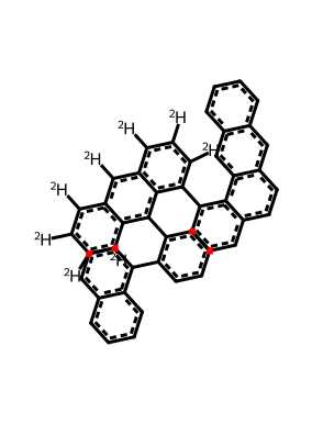 [2H]c1c([2H])c([2H])c2c(-c3ccccc3-c3cccc4ccccc34)c3c(-c4cccc5ccc6cc7ccccc7cc6c45)c([2H])c([2H])c([2H])c3c([2H])c2c1[2H]